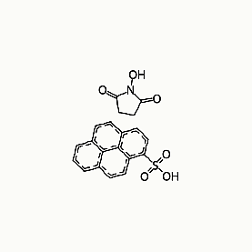 O=C1CCC(=O)N1O.O=S(=O)(O)c1ccc2ccc3cccc4ccc1c2c34